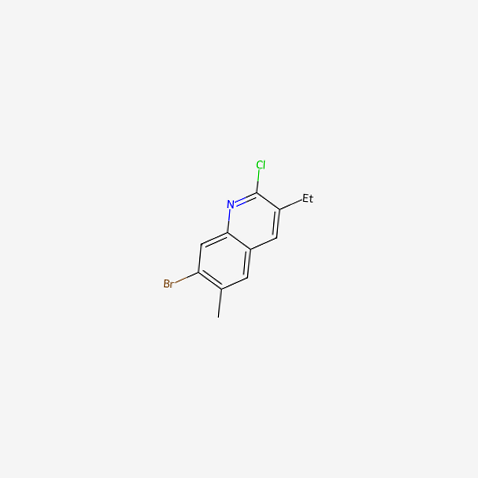 CCc1cc2cc(C)c(Br)cc2nc1Cl